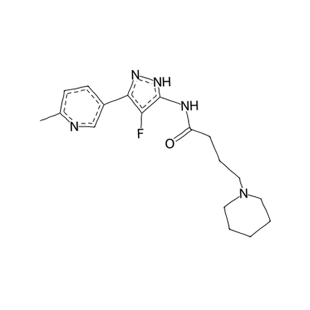 Cc1ccc(-c2n[nH]c(NC(=O)CCCN3CCCCC3)c2F)cn1